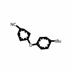 CC(C)(C)c1ccc(Oc2ccc(C#N)cc2)cc1